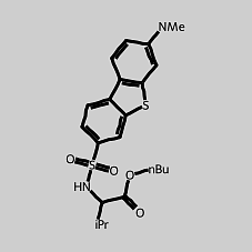 CCCCOC(=O)C(NS(=O)(=O)c1ccc2c(c1)sc1cc(NC)ccc12)C(C)C